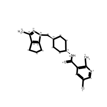 Cc1ncc(Cl)cc1C(=O)N[C@H]1CC[C@H](Cn2nc(C)c3c2CCC3)CC1